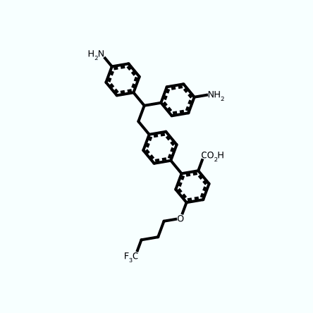 Nc1ccc(C(Cc2ccc(-c3cc(OCCCC(F)(F)F)ccc3C(=O)O)cc2)c2ccc(N)cc2)cc1